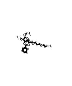 COC1C2OC(c3ccccc3)OC(COCCCOCCN)[C@H]2O[C@@H]1OC